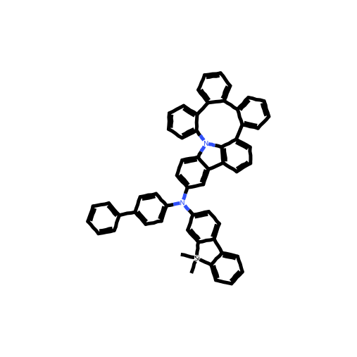 C[Si]1(C)c2ccccc2-c2ccc(N(c3ccc(-c4ccccc4)cc3)c3ccc4c(c3)c3cccc5c6ccccc6c6ccccc6c6ccccc6n4c53)cc21